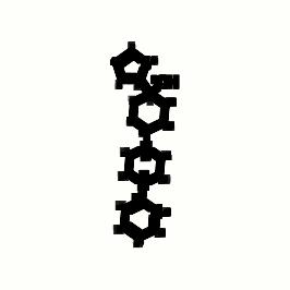 O[C@]1(c2cccs2)CC[C@@H](N2CCN(c3ccccn3)CC2)CC1